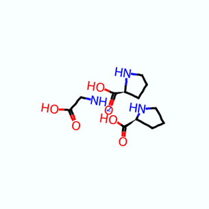 NCC(=O)O.O=C(O)[C@@H]1CCCN1.O=C(O)[C@@H]1CCCN1